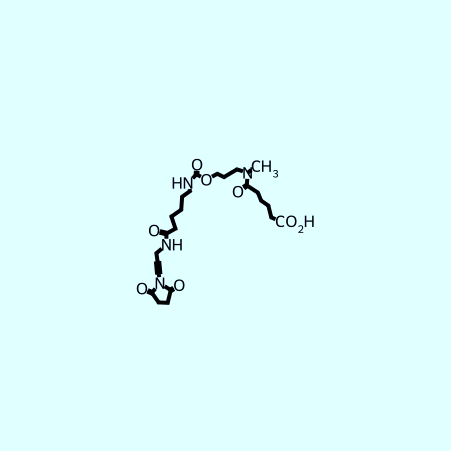 CN(CCCOC(=O)NCCCCCC(=O)NCC#CN1C(=O)CCC1=O)C(=O)CCCCC(=O)O